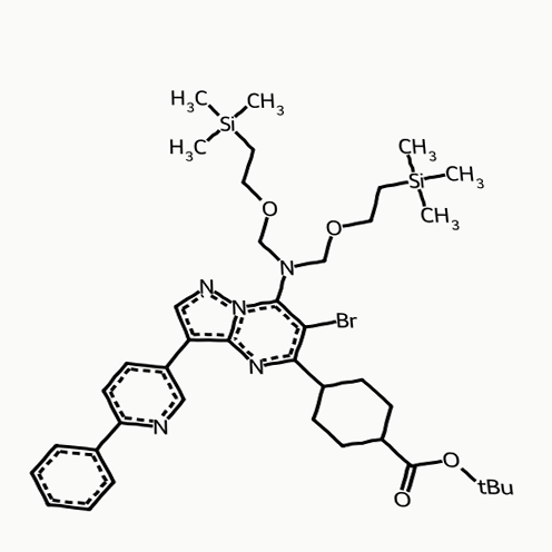 CC(C)(C)OC(=O)C1CCC(c2nc3c(-c4ccc(-c5ccccc5)nc4)cnn3c(N(COCC[Si](C)(C)C)COCC[Si](C)(C)C)c2Br)CC1